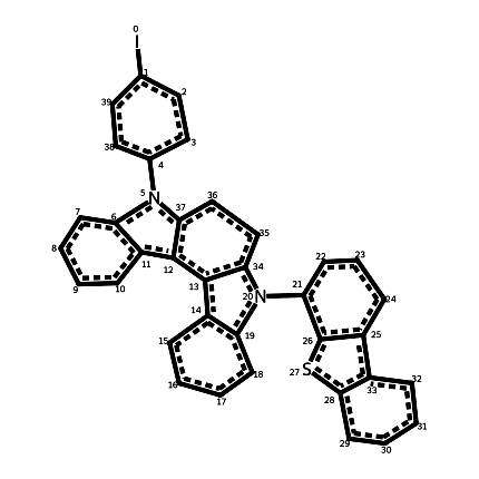 Ic1ccc(-n2c3ccccc3c3c4c5ccccc5n(-c5cccc6c5sc5ccccc56)c4ccc32)cc1